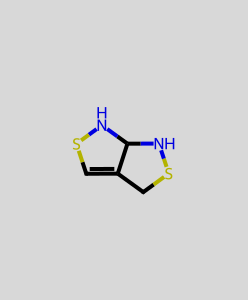 C1=C2CSNC2NS1